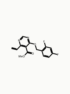 C=Cc1ncnc(OCc2ccc(F)cc2F)c1C(=O)OC